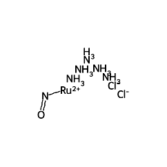 N.N.N.N.N.O=[N][Ru+2].[Cl-].[Cl-]